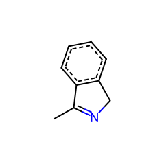 CC1=NCc2ccccc21